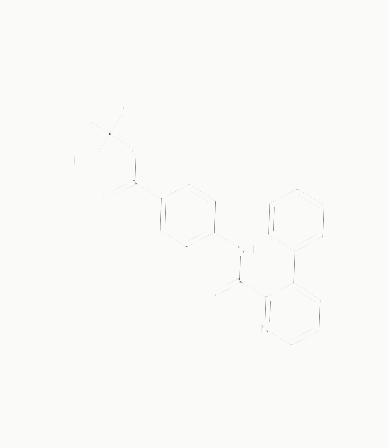 CC(C)(C)OC(=O)c1ccc(NC(=O)c2ncccc2-c2ccccc2)cc1